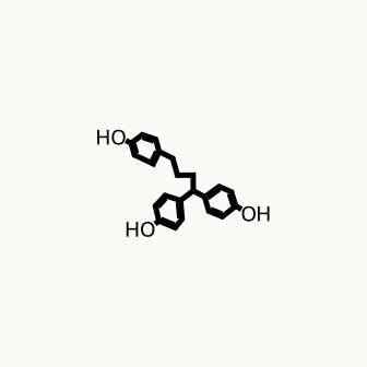 Oc1ccc(CCCC(c2ccc(O)cc2)c2ccc(O)cc2)cc1